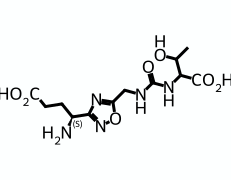 CC(O)C(NC(=O)NCc1nc([C@@H](N)CCC(=O)O)no1)C(=O)O